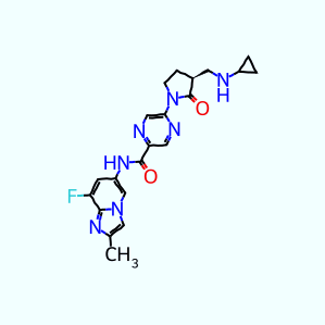 Cc1cn2cc(NC(=O)c3cnc(N4CC[C@@H](CNC5CC5)C4=O)cn3)cc(F)c2n1